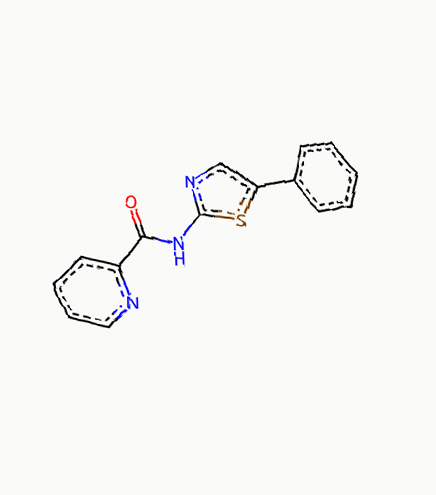 O=C(Nc1ncc(-c2ccccc2)s1)c1ccccn1